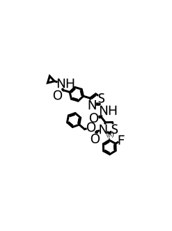 O=C(NC1CC1)c1ccc(-c2csc(NC(=O)C3CS[C@H](c4ccccc4F)N3C(=O)OCc3ccccc3)n2)cc1